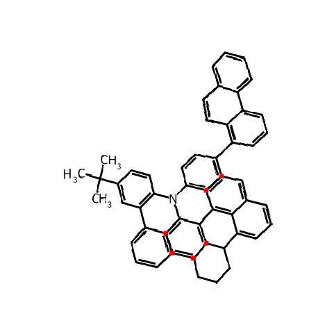 CC(C)(C)c1ccc(N(c2ccc(-c3cccc4c3ccc3ccccc34)cc2)c2ccccc2-c2cccc3cccc(C4CCCCC4)c23)c(-c2ccccc2)c1